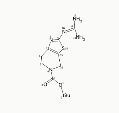 CC(C)(C)OC(=O)N1CCc2nc(N=C(N)N)sc2C1